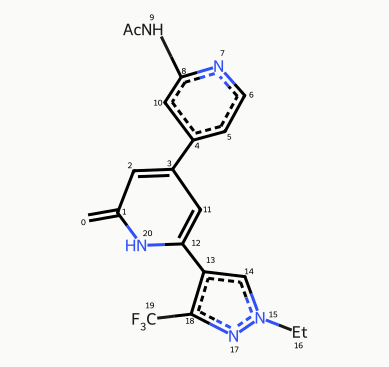 C=C1C=C(c2ccnc(NC(C)=O)c2)C=C(c2cn(CC)nc2C(F)(F)F)N1